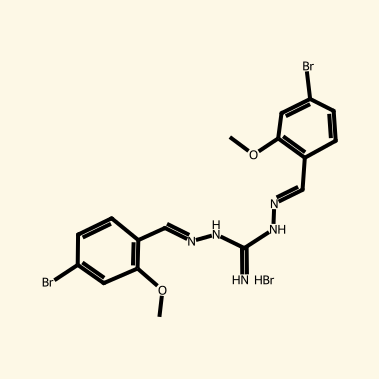 Br.COc1cc(Br)ccc1C=NNC(=N)NN=Cc1ccc(Br)cc1OC